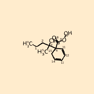 CCCC(C)(C)C1(C(=O)OO)C=CC=CC1